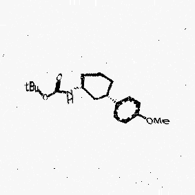 COc1ccc([C@H]2CCC[C@@H](NC(=O)OC(C)(C)C)C2)cc1